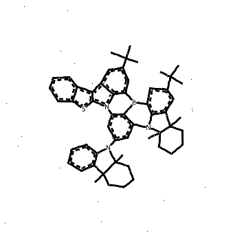 CC(C)(C)c1cc2c3c(c1)C1(C)CCCCC1(C)N3c1cc(N3c4ccccc4C4(C)CCCCC34C)cc3c1B2c1cc(C(C)(C)C)cc2c4c5ccccc5sc4n-3c12